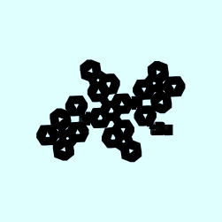 CC(C)(C)c1ccc(N(c2ccc3c(c2)C(c2ccccc2)(c2ccccc2)c2ccccc2-3)c2ccc3c(-c4ccc5c6c(cccc46)-c4ccccc4-5)c4cc(N(c5ccccc5)c5ccc6c(c5)C(c5ccccc5)(c5ccccc5)c5ccccc5-6)ccc4c(-c4ccc5c6c(cccc46)-c4ccccc4-5)c3c2)cc1